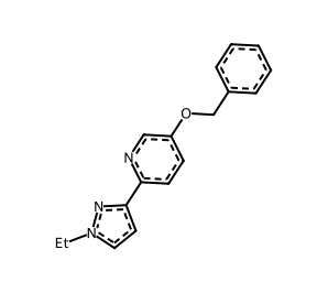 CCn1ccc(-c2ccc(OCc3ccccc3)cn2)n1